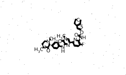 CN1CCN(C)[C@H](c2ccc(Nc3nc(-c4ccc(F)c(NC(=O)Oc5cc6c(s5)CCCC6)n4)cn(C)c3=O)cc2)C1=O